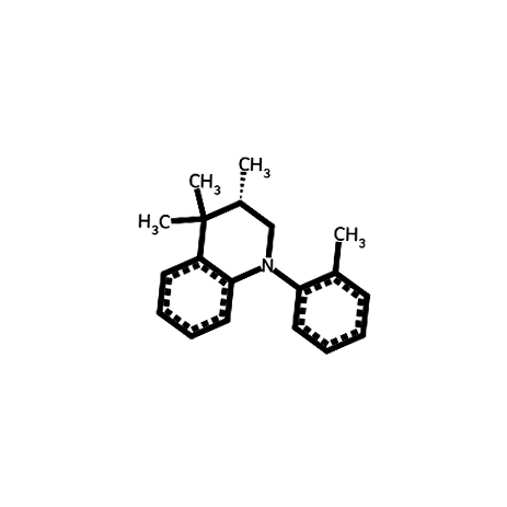 Cc1ccccc1N1C[C@@H](C)C(C)(C)c2ccccc21